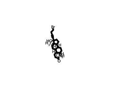 C[C@]12CCC(=O)N[C@@H]1CC[C@@H]1[C@@H]2CC[C@@]2(C)[C@H]1CC[C@@]2(O)C#CCCBr